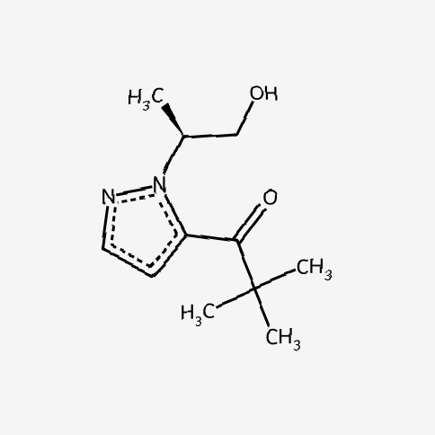 C[C@@H](CO)n1nccc1C(=O)C(C)(C)C